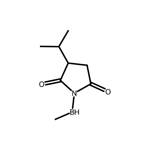 CBN1C(=O)CC(C(C)C)C1=O